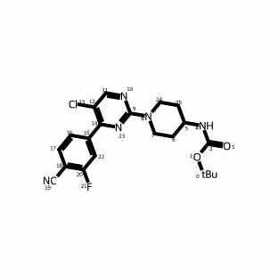 CC(C)(C)OC(=O)NC1CCN(c2ncc(Cl)c(-c3ccc(C#N)c(F)c3)n2)CC1